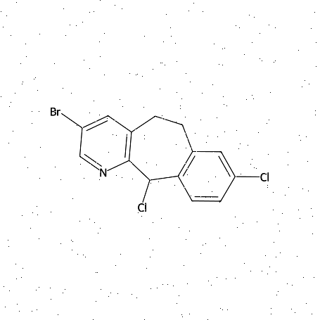 Clc1ccc2c(c1)CCc1cc(Br)cnc1C2Cl